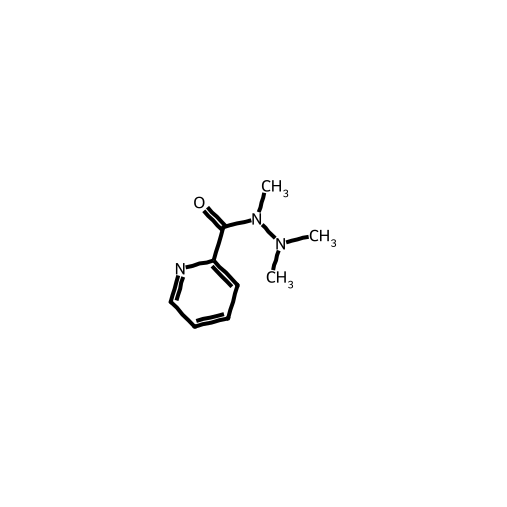 CN(C)N(C)C(=O)c1ccccn1